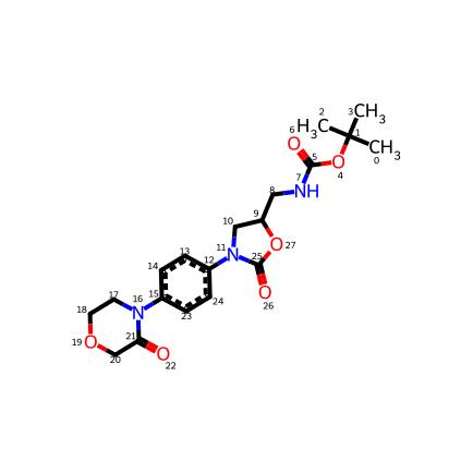 CC(C)(C)OC(=O)NCC1CN(c2ccc(N3CCOCC3=O)cc2)C(=O)O1